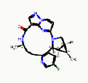 C[C@@H]1CCc2ncc(F)cc2[C@H]2[C@H]3[C@H]4C(N2c2ccn5ncc(c5n2)C(=O)N1)[C@@]34C